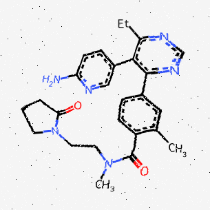 CCc1ncnc(-c2ccc(C(=O)N(C)CCN3CCCC3=O)c(C)c2)c1-c1ccc(N)nc1